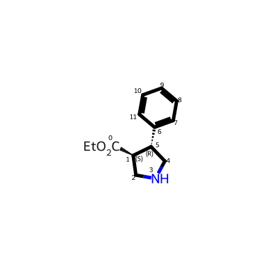 CCOC(=O)[C@@H]1CNC[C@H]1c1ccccc1